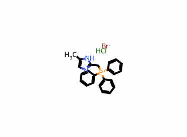 Cc1cnc(C[P+](c2ccccc2)(c2ccccc2)c2ccccc2)[nH]1.Cl.[Br-]